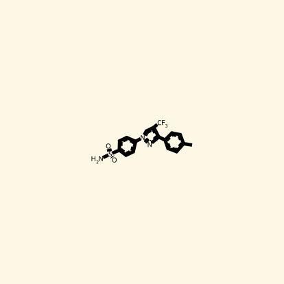 Cc1ccc(-c2nn(-c3ccc(S(N)(=O)=O)cc3)cc2C(F)(F)F)cc1